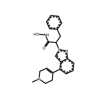 CN1CC=C(c2cccc3nn(C(Cc4ccccc4)C(=O)NO)cc23)CC1